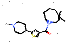 CC(=O)N1CCC(c2cc(C(=O)N3CCCCC(C)(C)C3)cs2)CC1